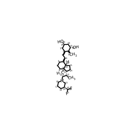 C=C1/C(=C\C=C2/CCC[C@]3(C)[C@@H](C(C)CN4CCC[C@H](C(F)F)C4)CC[C@@H]23)C[C@@H](O)C[C@@H]1O